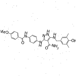 COc1ccc(C(=O)Nc2ccc(Nc3n[nH]c(NCc4cc(C)c(O)c(C)c4)c3C(N)=O)cc2)cc1